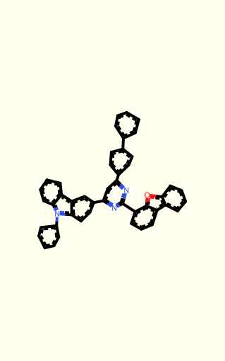 c1ccc(-c2ccc(-c3cc(-c4ccc5c(c4)c4ccccc4n5-c4ccccc4)nc(-c4cccc5c4oc4ccccc45)n3)cc2)cc1